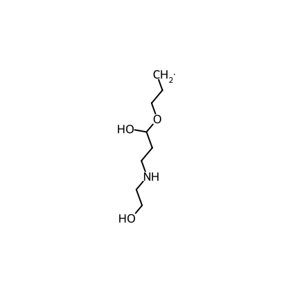 [CH2]CCOC(O)CCNCCO